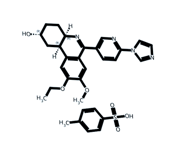 CCOc1cc2c(cc1OC)C(c1ccc(-n3ccnc3)nc1)=N[C@@H]1CC[C@@H](O)C[C@H]21.Cc1ccc(S(=O)(=O)O)cc1